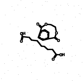 O=C(O)CCCCCCCC(=O)O.O=C1OCCOC(=O)c2ccc1cc2